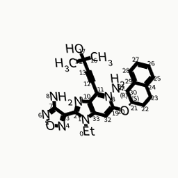 CCn1c(-c2nonc2N)nc2c(C#CC(C)(C)O)nc(O[C@H]3CCc4ccccc4[C@H]3N)cc21